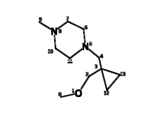 COCC1(CN2CCN(C)CC2)CC1